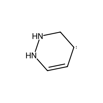 [C]1C=CNNC1